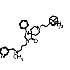 CN(CCCN1CN(c2ccccc2)C2(CCN(CCC3CCC4CC3C4(C)C)CC2)C1=O)Cc1cccnc1